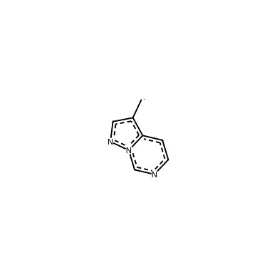 [CH2]c1cnn2cnccc12